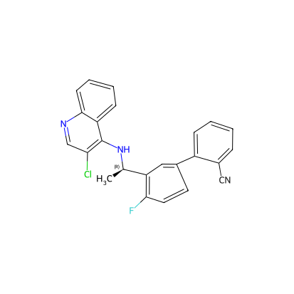 C[C@@H](Nc1c(Cl)cnc2ccccc12)c1cc(-c2ccccc2C#N)ccc1F